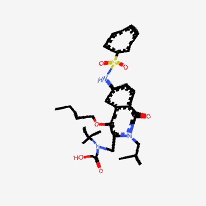 CCCCOc1c(CN(C(=O)O)C(C)(C)C)n(CC(C)C)c(=O)c2ccc(NS(=O)(=O)c3ccccc3)cc12